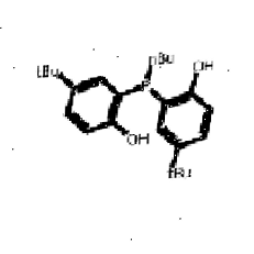 CCCCP(c1cc(C(C)(C)C)ccc1O)c1cc(C(C)(C)C)ccc1O